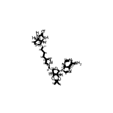 CC1(C)O[C@@H]2[C@H](O1)[C@@H](n1cnc3c(N)ncnc31)O[C@H]2Cn1cc(CCCC[C@@H]2SC[C@@H]3NC(=O)N[C@@H]32)nn1